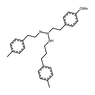 COc1ccc(CCN([N]CCc2ccc(C)cc2)NCCCc2ccc(C)cc2)cc1